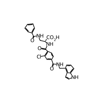 O=C(NCc1cccc2[nH]ccc12)c1ccc(C(=O)N[C@@H](CNC(=O)c2ccccc2)C(=O)O)c(Cl)c1